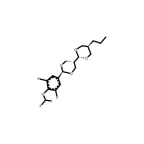 CCC[C@H]1CO[C@H]([C@H]2CO[C@H](c3cc(F)c(OC(F)F)c(F)c3)OC2)OC1